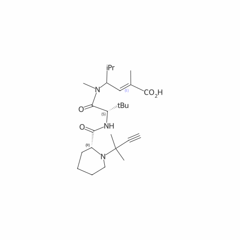 C#CC(C)(C)N1CCCC[C@@H]1C(=O)N[C@H](C(=O)N(C)C(/C=C(\C)C(=O)O)C(C)C)C(C)(C)C